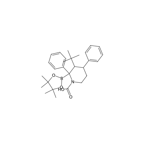 CC(C)(C)C1C(c2ccccc2)CCN(C(=O)O)C1(B1OC(C)(C)C(C)(C)O1)c1ccccc1